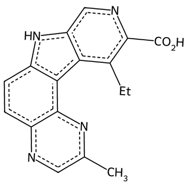 CCc1c(C(=O)O)ncc2[nH]c3ccc4ncc(C)nc4c3c12